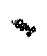 C=C1/C=C\C=C/C(C)c2ccccc2N1c1cncc2c1oc1ccc(N(c3ccccc3)c3ccccc3)cc12